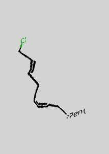 CCCCCC/C=C\C/C=C/CCl